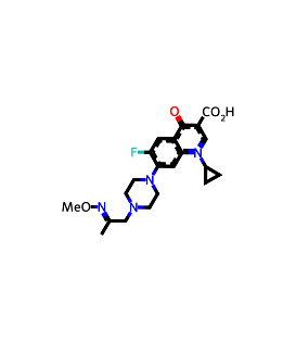 CON=C(C)CN1CCN(c2cc3c(cc2F)c(=O)c(C(=O)O)cn3C2CC2)CC1